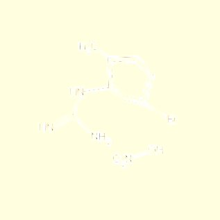 Cc1ccc(Br)cc1NC(=N)N.O=[N+]([O-])O